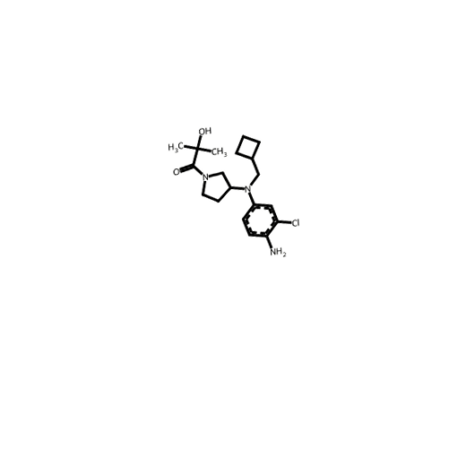 CC(C)(O)C(=O)N1CCC(N(CC2CCC2)c2ccc(N)c(Cl)c2)C1